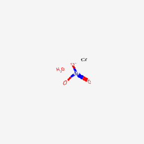 O.O=[N+]([O-])[O-].[Cr]